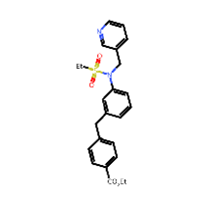 CCOC(=O)c1ccc(Cc2cccc(N(Cc3cccnc3)S(=O)(=O)CC)c2)cc1